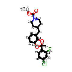 CC(C)(C)OC(=O)N1CCC(Cc2cccc3c2OC(C)(c2ccc(Cl)cc2F)O3)CC1